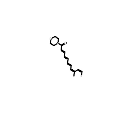 CC(/C=C\F)=C/C=C/C=C/C=C/C(=O)N1CCOCC1